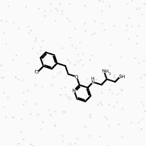 NC(CS)CNc1cccnc1OCCc1cccc(Cl)c1